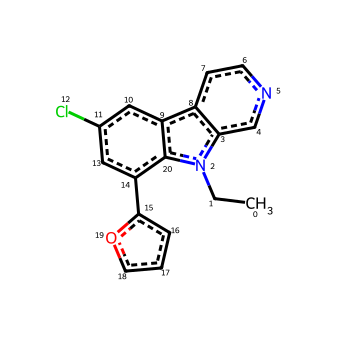 CCn1c2cnccc2c2cc(Cl)cc(-c3ccco3)c21